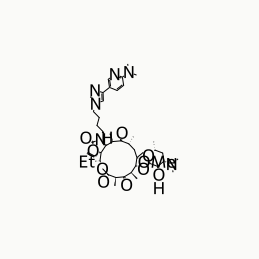 C=C[C@]12OC(=O)N(CCCCn3cnc(-c4ccc(N(C)C)nc4)c3)[C@@H]1[C@@H](C)C(=O)[C@H](C)C[C@](C)(OC)[C@H](OC1O[C@H](C)C[C@H](N(C)C)[C@H]1O)[C@@H](C)C(=O)[C@@H](C)C(=O)O[C@@H]2CC